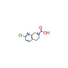 O=C(O)N1CCc2ccc(Cl)nc2C1